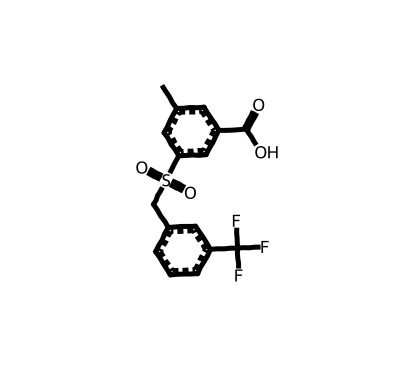 Cc1cc(C(=O)O)cc(S(=O)(=O)Cc2cccc(C(F)(F)F)c2)c1